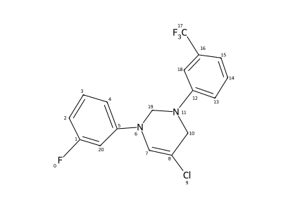 Fc1cccc(N2C=C(Cl)CN(c3cccc(C(F)(F)F)c3)C2)c1